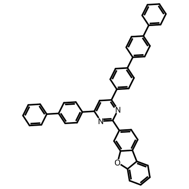 c1ccc(-c2ccc(-c3ccc(-c4cc(-c5ccc(-c6ccccc6)cc5)nc(-c5ccc6c(c5)oc5ccccc56)n4)cc3)cc2)cc1